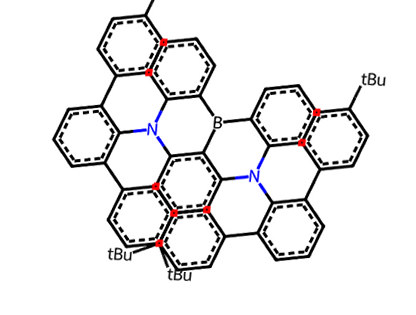 CC(C)(C)c1ccc(-c2cccc(-c3ccc(C(C)(C)C)cc3)c2N2c3ccccc3B3c4ccccc4N(c4c(-c5ccc(C(C)(C)C)cc5)cccc4-c4ccc(C(C)(C)C)cc4)c4cccc2c43)cc1